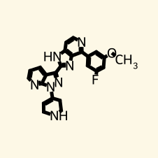 COc1cc(F)cc(-c2nccc3[nH]c(-c4nn(C5=CCNCC5)c5ncccc45)nc23)c1